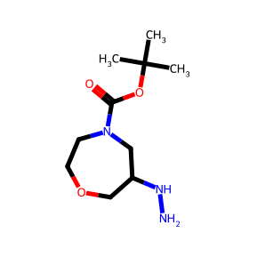 CC(C)(C)OC(=O)N1CCOCC(NN)C1